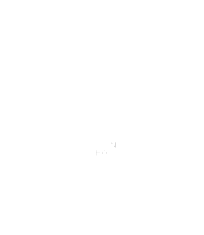 O/N=C1\C=Cc2c(ccc3ccccc23)C1